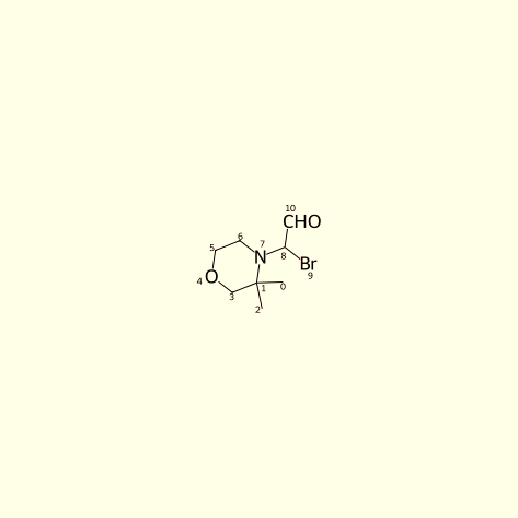 CC1(C)COCCN1C(Br)C=O